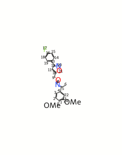 COc1ccc(C(C)=NOCc2cc(-c3ccc(F)cc3)no2)cc1OC